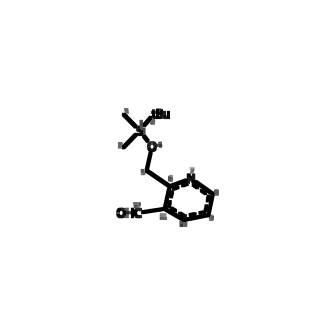 CC(C)(C)[Si](C)(C)OCc1ncccc1C=O